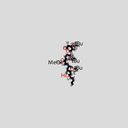 C=C/C=C\[C@H](C)[C@H](O)[C@@H](C)[C@H](O[Si](C)(C)C(C)(C)C)[C@@H](C)C/C(C)=C\[C@H](C)[C@@H](OCOC)[C@@H](C)/C=C\[C@H](C[C@@H]1OC(=O)[C@H](C)[C@@H](O[Si](C)(C)C(C)(C)C)[C@H]1C)O[Si](C)(C)C(C)(C)C